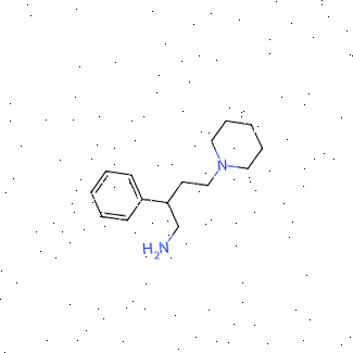 NCC(CCN1CCCCC1)c1ccccc1